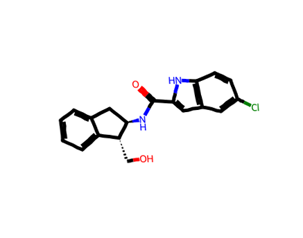 O=C(N[C@@H]1Cc2ccccc2[C@H]1CO)c1cc2cc(Cl)ccc2[nH]1